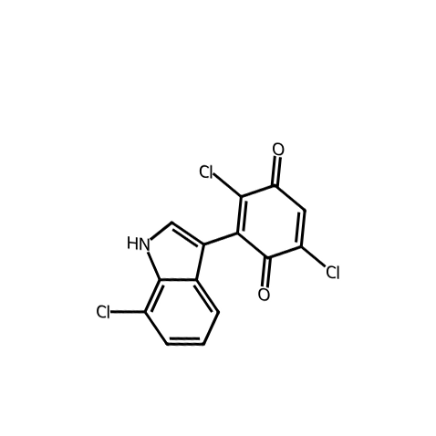 O=C1C=C(Cl)C(=O)C(c2c[nH]c3c(Cl)cccc23)=C1Cl